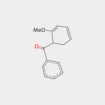 COC1=CC=CCC1C(=O)c1ccccc1